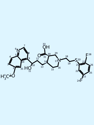 COc1ccc2nccc(C(O)CC[C@@H]3CCN(CCSc4cc(F)ccc4F)C[C@@H]3C(=O)O)c2c1